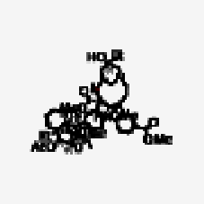 CC[C@]1(O)C[C@H]2CN(CCc3c([nH]c4ccc(C(=O)OC)cc34)[C@@](C(=O)OC)(c3cc4c(cc3OC)N(C)[C@@]35O[C@]3(C(=O)OC)[C@H](OC(C)=O)[C@]3(CC)C=CCN6CC[C@]45[C@@H]63)C2)C1